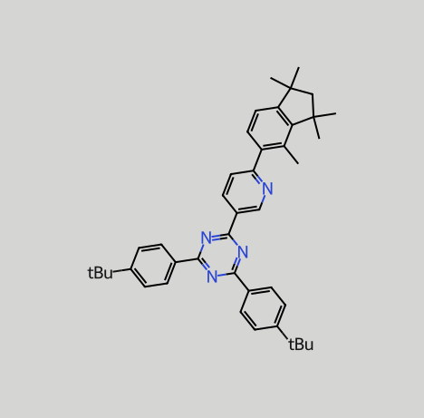 Cc1c(-c2ccc(-c3nc(-c4ccc(C(C)(C)C)cc4)nc(-c4ccc(C(C)(C)C)cc4)n3)cn2)ccc2c1C(C)(C)CC2(C)C